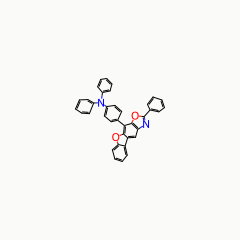 c1ccc(-c2nc3cc4c(oc5ccccc54)c(-c4ccc(N(c5ccccc5)c5ccccc5)cc4)c3o2)cc1